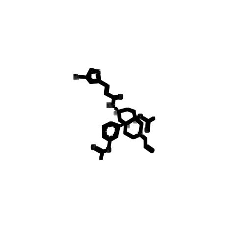 C=CCN1CC[C@@]2(c3cccc(OC(C)=O)c3)C[C@H](NC(=O)C=Cc3cc(Br)cs3)CC[C@]2(OC(C)=O)C1